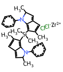 CC1=CC2=CC(C)N(c3ccccc3)C2=C1[Si](C)(C)C1=C2C(=CC(C)N2c2ccccc2)C=C1C.[Cl-].[Cl-].[Zr+2]